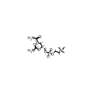 C[N+](C)(C)CCOP(=O)([O-])OC[C@@H](COC(N)=O)OC(N)=O